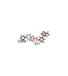 COc1ccccc1N1CCN(C[C@@H](O)COc2cccc(-c3noc4ccsc34)c2)CC1.Cl